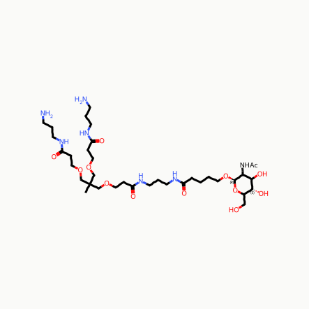 CC(=O)NC1C(O)[C@H](O)C(CO)O[C@H]1OCCCCC(=O)NCCCNC(=O)CCOCC(C)(COCCC(=O)NCCCN)COCCC(=O)NCCCN